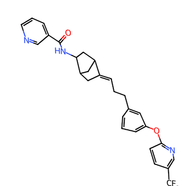 O=C(NC1CC2CC1CC2=CCCc1cccc(Oc2ccc(C(F)(F)F)cn2)c1)c1cccnc1